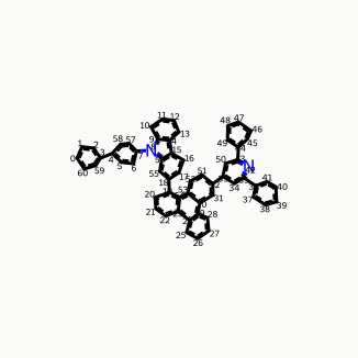 c1ccc(-c2ccc(-n3c4ccccc4c4ccc(-c5cccc6c7ccccc7c7cc(-c8cc(-c9ccccc9)nc(-c9ccccc9)c8)ccc7c56)cc43)cc2)cc1